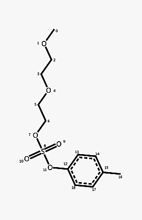 COCCOCCOS(=O)(=O)Oc1ccc(C)cc1